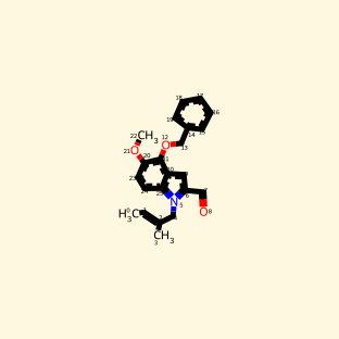 CC=C(C)Cn1c(C=O)cc2c(OCc3ccccc3)c(OC)ccc21